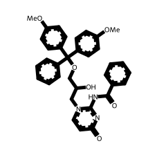 COc1ccc(C(OCC(O)Cn2ccc(=O)nc2NC(=O)c2ccccc2)(c2ccccc2)c2ccc(OC)cc2)cc1